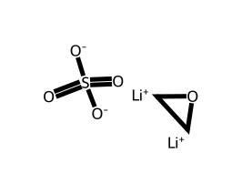 C1CO1.O=S(=O)([O-])[O-].[Li+].[Li+]